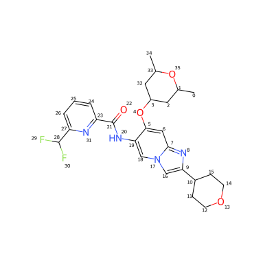 CC1CC(Oc2cc3nc(C4CCOCC4)cn3cc2NC(=O)c2cccc(C(F)F)n2)CC(C)O1